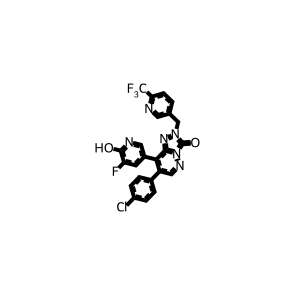 O=c1n(Cc2ccc(C(F)(F)F)nc2)nc2c(-c3cnc(O)c(F)c3)c(-c3ccc(Cl)cc3)cnn12